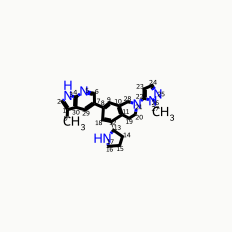 Cc1c[nH]c2ncc(-c3cc4c(c([C@@H]5CCCN5)c3)CCN(c3ccnn3C)C4)cc12